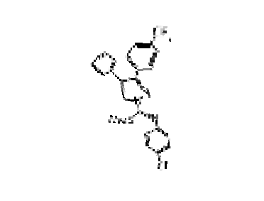 CS/C(=N\c1ccc(Cl)cc1)N1CC(c2ccccc2)C(c2ccc(C(F)(F)F)cc2)=N1